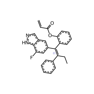 C=CC(=O)Oc1ccccc1/C(=C(\CC)c1ccccc1)c1cc(F)c2[nH]ncc2c1